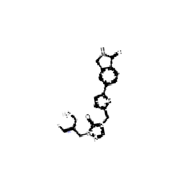 NC/C(=C\F)Cn1ncn(Cc2ccc(-c3ccc4c(c3)CNC4=O)s2)c1=O